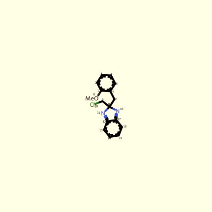 COc1ccccc1CC1(CCl)N=c2ccccc2=N1